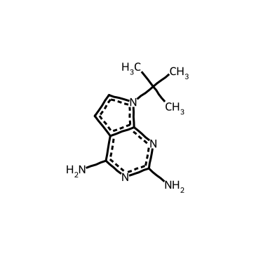 CC(C)(C)n1ccc2c(N)nc(N)nc21